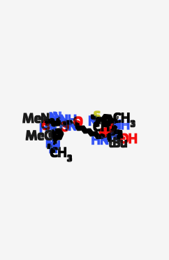 CNC(=O)c1nnc(NC(=O)CNC(=O)CCCCCCCC(=O)N[C@H](C(=O)N2C[C@H](O)C[C@H]2C(=O)N[C@@H](C)c2ccc(-c3scnc3C)cc2)C(C)(C)C)cc1Nc1cccc(-c2ncn(C)n2)c1OC